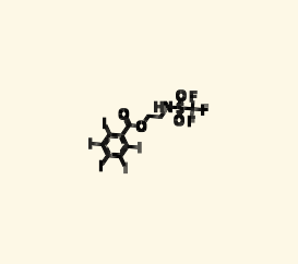 O=C(OCCNS(=O)(=O)C(F)(F)F)c1c(I)c(I)c(I)c(I)c1I